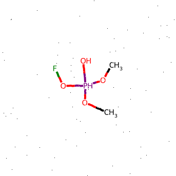 CO[PH](O)(OC)OF